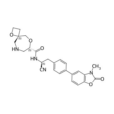 Cn1c(=O)oc2ccc(-c3ccc(C[C@@H](C#N)NC(=O)[C@@H]4CNC[C@@]5(CCO5)CO4)cc3)cc21